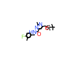 Cc1nc(CO[Si](C)(C)C(C)(C)C)cc(C(=O)NCc2ccc(F)c(C)c2)n1